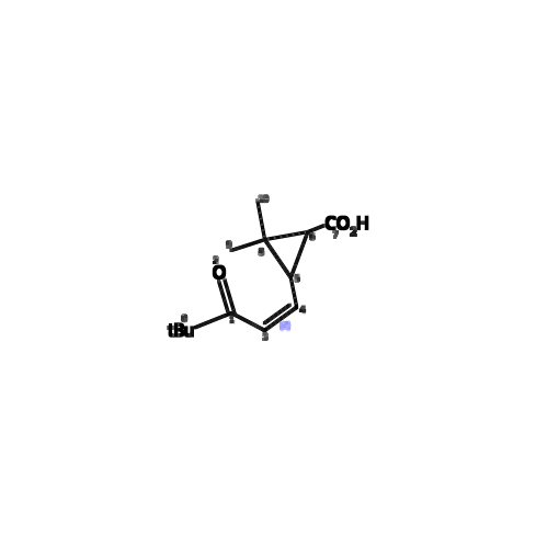 CC(C)(C)C(=O)/C=C\C1C(C(=O)O)C1(C)C